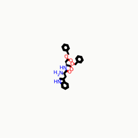 N[C@@H](Cc1c[nH]c2ccccc12)C(=O)N[C@@H](CC(=O)OCc1ccccc1)C(=O)OCc1ccccc1